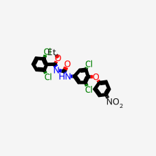 CCO/C(=N\C(=O)Nc1cc(Cl)c(Oc2ccc([N+](=O)[O-])cc2)c(Cl)c1)c1c(Cl)cccc1Cl